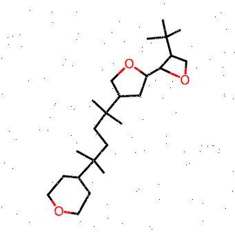 CC(C)(C)C1COC1C1CC(C(C)(C)CCC(C)(C)C2CCOCC2)CO1